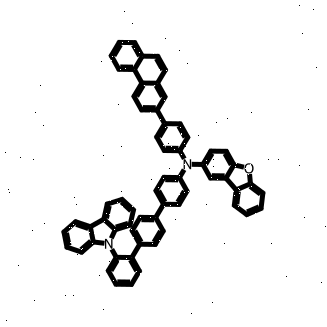 c1ccc(-n2c3ccccc3c3ccccc32)c(-c2ccc(-c3ccc(N(c4ccc(-c5ccc6c(ccc7ccccc76)c5)cc4)c4ccc5oc6ccccc6c5c4)cc3)cc2)c1